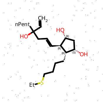 C=CC(O)(CC=C[C@@H]1[C@@H](CCCCSCC)[C@@H](O)C[C@H]1O)CCCCC